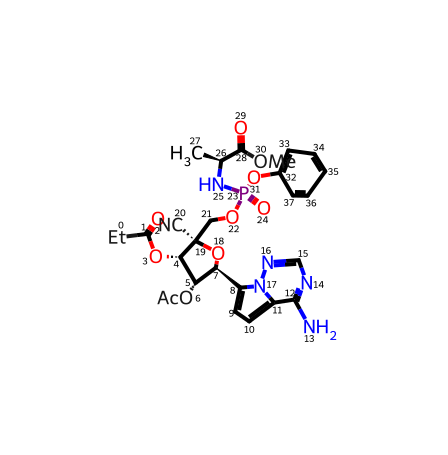 CCC(=O)O[C@H]1[C@@H](OC(C)=O)[C@H](c2ccc3c(N)ncnn23)O[C@]1(C#N)COP(=O)(N[C@@H](C)C(=O)OC)Oc1ccccc1